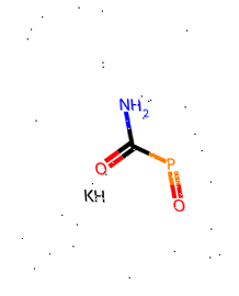 NC(=O)P=O.[KH]